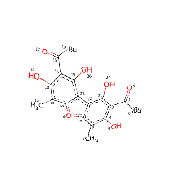 CCC(C)C(=O)c1c(O)c(C)c2oc3c(C)c(O)c(C(=O)C(C)CC)c(O)c3c2c1O